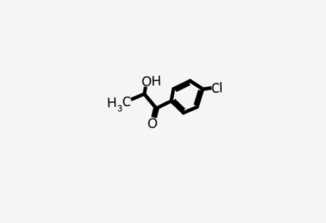 CC(O)C(=O)c1ccc(Cl)cc1